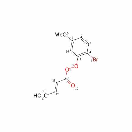 COc1ccc(Br)c(OOC(=O)C=CC(=O)O)c1